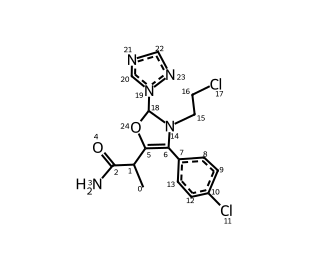 CC(C(N)=O)C1=C(c2ccc(Cl)cc2)N(CCCl)C(n2cncn2)O1